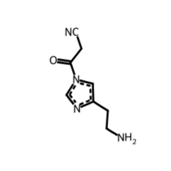 N#CCC(=O)n1cnc(CCN)c1